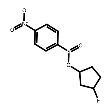 O=[N+]([O-])c1ccc(S(=O)OC2CCC(F)C2)cc1